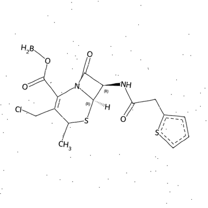 BOC(=O)C1=C(CCl)C(C)S[C@@H]2[C@H](NC(=O)Cc3cccs3)C(=O)N12